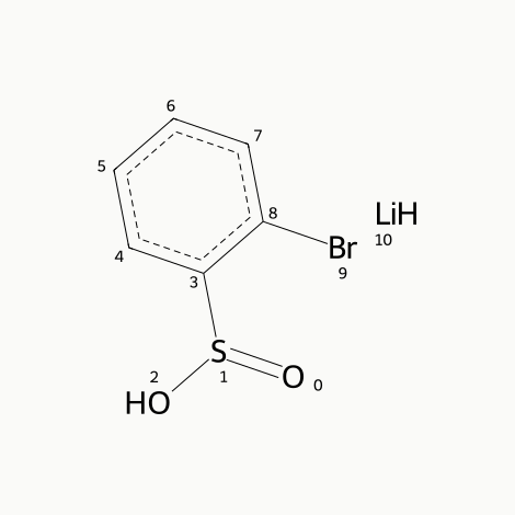 O=S(O)c1ccccc1Br.[LiH]